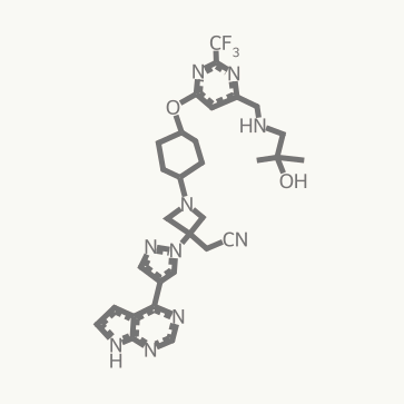 CC(C)(O)CNCc1cc(OC2CCC(N3CC(CC#N)(n4cc(-c5ncnc6[nH]ccc56)cn4)C3)CC2)nc(C(F)(F)F)n1